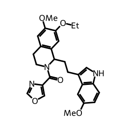 CCOc1cc2c(cc1OC)CCN(C(=O)c1cocn1)C2CCc1c[nH]c2ccc(OC)cc12